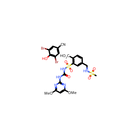 COc1cc(OC)nc(NC(=O)NS(=O)(=O)c2cc(CNS(C)(=O)=O)ccc2C(=O)O)n1.N#Cc1cc(Br)c(O)c(Br)c1